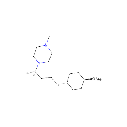 CO[C@H]1CC[C@H](CCC[C@H](C)N2CCN(C)CC2)CC1